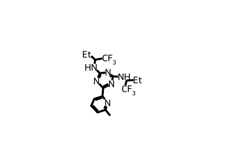 CCC(Nc1nc(NC(CC)C(F)(F)F)nc(-c2cccc(C)n2)n1)C(F)(F)F